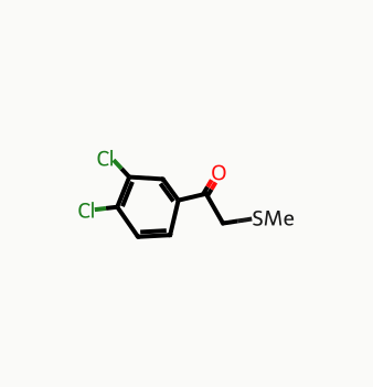 CSCC(=O)c1ccc(Cl)c(Cl)c1